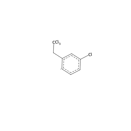 Clc1cc[c]c(CC(Cl)(Cl)Cl)c1